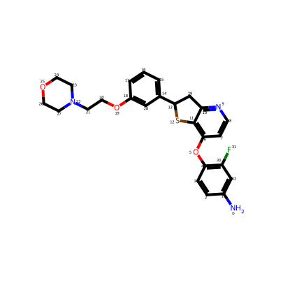 Nc1ccc(Oc2ccnc3c2SC(c2cccc(OCCN4CCOCC4)c2)C3)c(F)c1